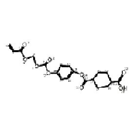 C=CC(=O)OCOC(=O)Oc1ccc(OC(=O)C2CCC(C(=O)O)CC2)cc1